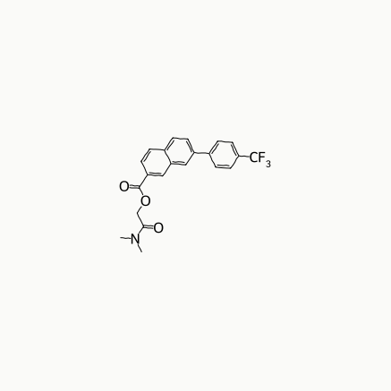 CN(C)C(=O)COC(=O)c1ccc2ccc(-c3ccc(C(F)(F)F)cc3)cc2c1